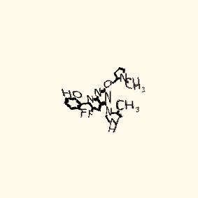 CC1CNCCN1c1nc(OCC2CCCN2C)nc2nc(-c3c(O)cccc3F)c(F)cc12